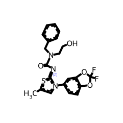 Cc1cn(-c2ccc3c(c2)OC(F)(F)O3)/c(=N/C(=O)N(CCO)Cc2ccccc2)s1